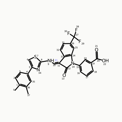 Cc1ccc(-c2csc(N/C=C3/C(=O)N(c4cccc(C(=O)O)c4)c4cc(C(F)(F)F)ccc43)n2)cc1C